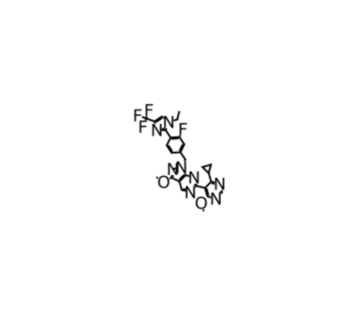 CCn1cc(C(F)(F)F)nc1-c1ccc(Cn2nc(OC)c3cnc(-c4c(OC)ncnc4C4CC4)nc32)cc1F